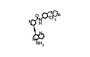 CN1CCN(Cc2ccc(NC(=O)c3cncc(C#Cc4cnc(N)c5cccnc45)c3)cc2C(F)(F)F)CC1